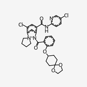 O=C(Nc1ccc(Cl)cn1)c1cc(Cl)c2cc1N(C(=O)c1ccccc1OC1CCC3(CC1)OCCO3)[N+]21CCCC1